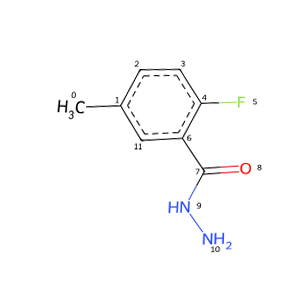 Cc1ccc(F)c(C(=O)NN)c1